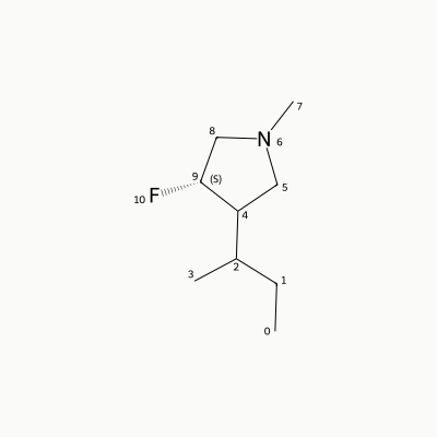 CCC(C)C1CN(C)C[C@H]1F